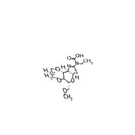 CCN(C(=O)O)C1=N[C@@H]2[C@@H](OC)[C@H](OC)[C@@H](COC)O[C@@H]2S1